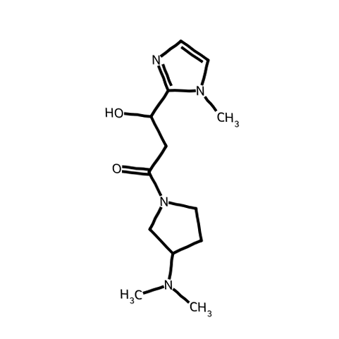 CN(C)C1CCN(C(=O)CC(O)c2nccn2C)C1